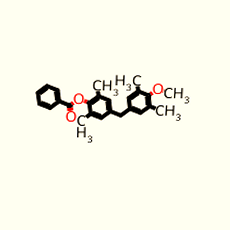 COc1c(C)cc(Cc2cc(C)c(OC(=O)c3ccccc3)c(C)c2)cc1C